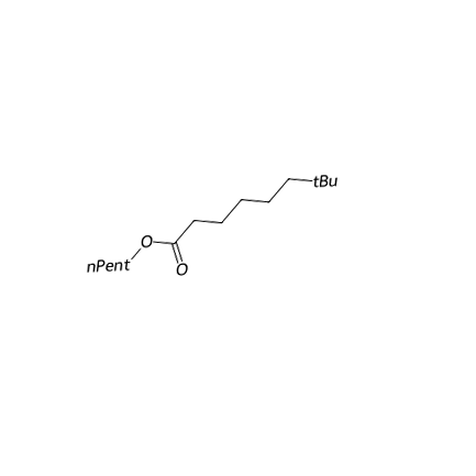 CCCCCOC(=O)CCCCCC(C)(C)C